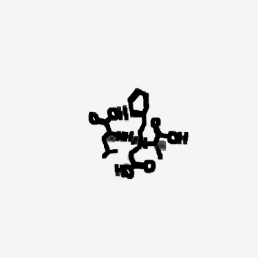 CC(C)C[C@H](N)C(=O)O.C[C@H](C(=O)O)N(CCc1ccccc1)CC(=O)O